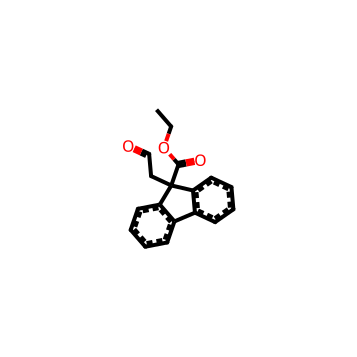 CCOC(=O)C1(CC=O)c2ccccc2-c2ccccc21